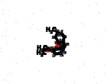 CCN1CC[C@]23C=C[C@H](C)C[C@H]2Oc2c(OC)ccc(c23)C1